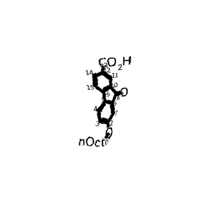 CCCCCCCCOc1ccc2c(c1)C(=O)c1cc(C(=O)O)ccc1-2